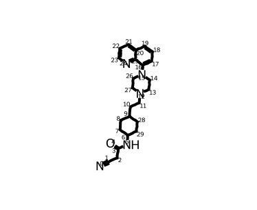 N#CCC(=O)NC1CCC(CCN2CCN(c3cccc4cccnc34)CC2)CC1